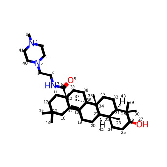 CN1CCN(CCNC(=O)[C@]23CCC(C)(C)CC2=C2CC[C@@H]4[C@@]5(C)CCC(O)C(C)(C)[C@@H]5CC[C@@]4(C)[C@]2(C)CC3)CC1